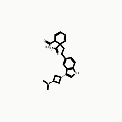 CN(C)[C@H]1C[C@H](c2c[nH]c3ccc(CCC4(C(N)=O)C=CC=CC4C(N)=O)cc32)C1